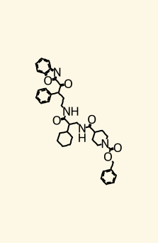 O=C(NCC(C(=O)NCCC(C(=O)c1nc2ccccc2o1)c1ccccc1)C1CCCCC1)C1CCN(C(=O)OCc2ccccc2)CC1